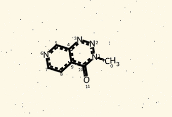 Cn1nnc2cnccc2c1=O